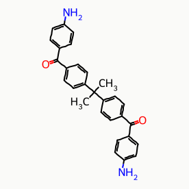 CC(C)(c1ccc(C(=O)c2ccc(N)cc2)cc1)c1ccc(C(=O)c2ccc(N)cc2)cc1